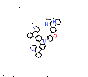 c1ccc(-c2ccccc2-c2ccc3c(c2)c2cc(-c4ccccc4-c4ccccn4)ccc2n3-c2ccc3oc4cc(-c5ccccn5)c(-c5ccccn5)cc4c3c2)nc1